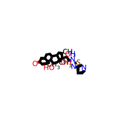 C[C@@H]1CC2C3CCC4=CC(=O)C=CC4(C)C3[C@@H](O)CC2(C)[C@@]1(O)C(=O)CNc1nc2cccnc2s1